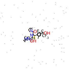 Cc1cc(C(O)(C(F)(F)F)C(F)(F)F)ccc1-c1sc(C(O)NCC2(C(=O)O)CC2)nc1C(=O)N1CCC[C@@H]1C